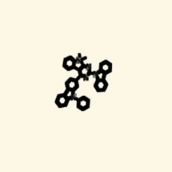 C[Si]1(C)c2ccccc2-c2c(-c3ccc4c5ccccc5n(-c5ccccc5)c4c3)nc(-n3c4ccccc4c4ccccc43)nc21